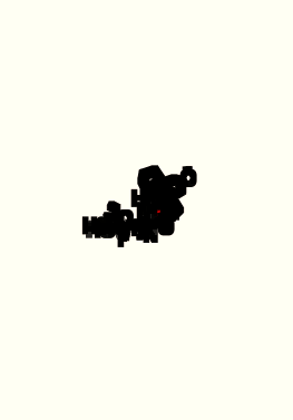 CC[C@]1(CO)O[C@@H](n2cnc3c(=O)[nH]c(NC(c4ccccc4)(c4ccccc4)c4ccc(OC)cc4)nc32)[C@H](F)[C@@H]1O